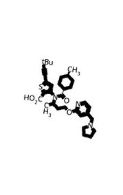 CC(CCOc1cc(CN2CCCC2)ccn1)N(c1cc(C#CC(C)(C)C)sc1C(=O)O)C(=O)[C@H]1CC[C@H](C)CC1